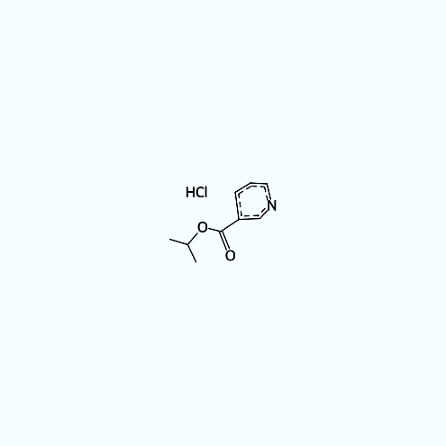 CC(C)OC(=O)c1cccnc1.Cl